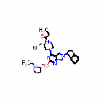 C=CC(=O)N1CCN(c2nc(OC[C@@H]3CCCN3CC(F)(F)F)nc3c2CN(C2CCc4ccccc42)C3)C[C@@H]1CC#N